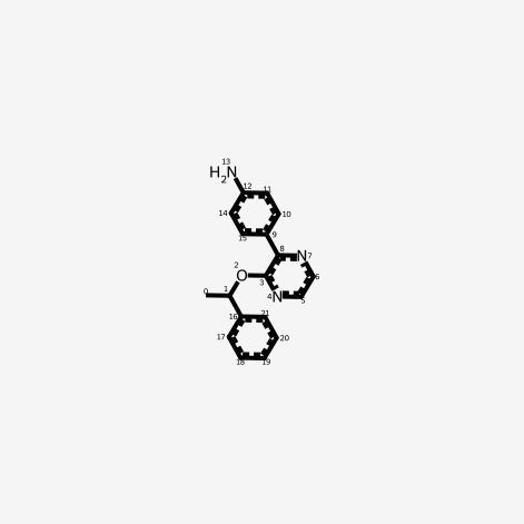 CC(Oc1nccnc1-c1ccc(N)cc1)c1ccccc1